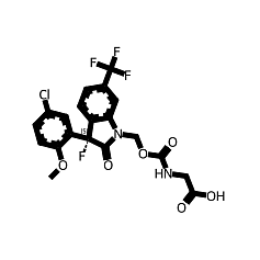 COc1ccc(Cl)cc1[C@]1(F)C(=O)N(COC(=O)NCC(=O)O)c2cc(C(F)(F)F)ccc21